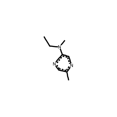 CCN(C)c1cnc(C)cn1